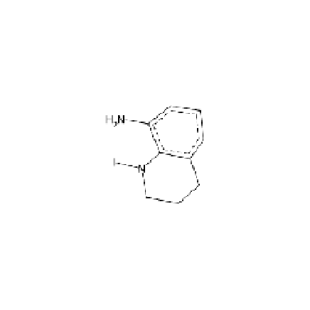 Nc1cccc2c1N(I)CCC2